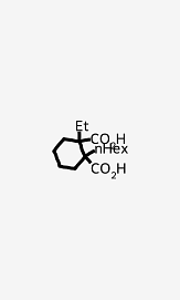 CCCCCCC1(C(=O)O)CCCCC1(CC)C(=O)O